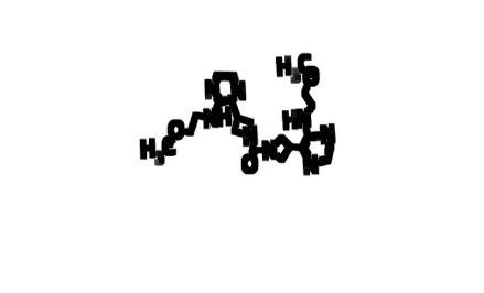 COCCNc1nccnc1C1CN(C(=O)N2CC(c3nccnc3NCCOC)C2)C1